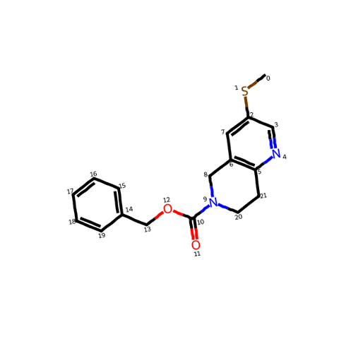 CSc1cnc2c(c1)CN(C(=O)OCc1ccccc1)CC2